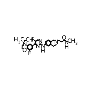 CNC(=O)CCN1CCc2cc(Nc3ncc(F)c(-c4cc(F)c5c(c4)N(C(C)C)CCO5)n3)ccc2C1